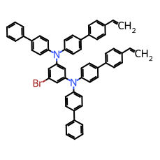 C=Cc1ccc(-c2ccc(N(c3ccc(-c4ccccc4)cc3)c3cc(Br)cc(N(c4ccc(-c5ccccc5)cc4)c4ccc(-c5ccc(C=C)cc5)cc4)c3)cc2)cc1